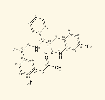 C[C@H](CN[C@H](c1ccccc1)[C@H]1CNc2cc(F)cnc2C1)c1ccc(F)c(CC(=O)O)c1